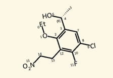 CCOc1c([C@@H](C)O)cc(Cl)c(F)c1CC[N+](=O)[O-]